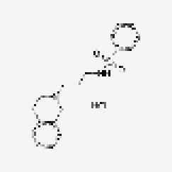 Cl.O=S(=O)(NCCCN1CCc2ccccc2C1)c1ccccc1